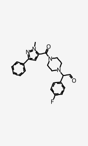 Cn1nc(-c2ccccc2)cc1C(=O)N1CCN(C(C=O)c2ccc(F)cc2)CC1